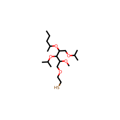 CCCC(C)OC(COC(C)C)C(OC(C)C)C(COCCS)OC